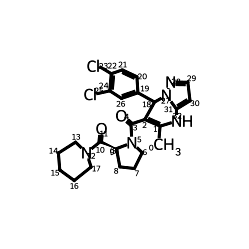 CC1=C(C(=O)N2CCC[C@H]2C(=O)N2CCCCC2)C(c2ccc(Cl)c(Cl)c2)n2nccc2N1